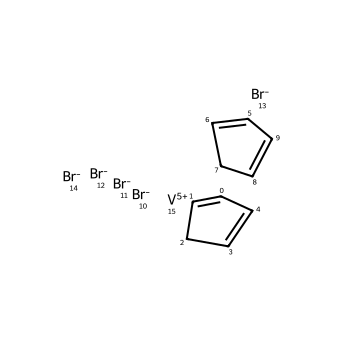 C1=CCC=C1.C1=CCC=C1.[Br-].[Br-].[Br-].[Br-].[Br-].[V+5]